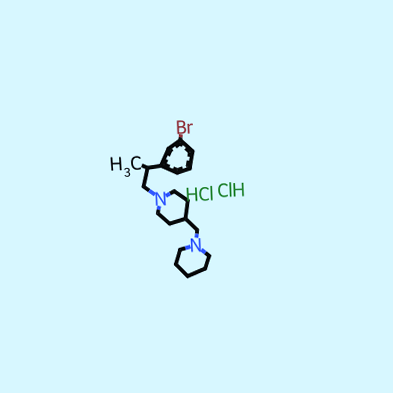 CC(CN1CCC(CN2CCCCC2)CC1)c1cccc(Br)c1.Cl.Cl